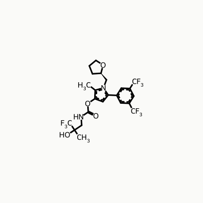 Cc1c(OC(=O)NCC(C)(O)C(F)(F)F)cc(-c2cc(C(F)(F)F)cc(C(F)(F)F)c2)n1C[C@H]1CCCO1